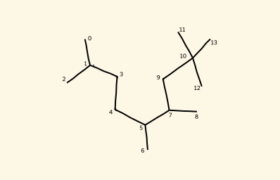 C[C](C)CCC(C)C(C)CC(C)(C)C